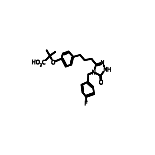 CC(C)(Oc1ccc(CCCc2n[nH]c(=O)n2Cc2ccc(F)cc2)cc1)C(=O)O